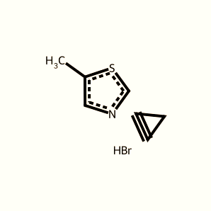 Br.C1#CC1.Cc1cncs1